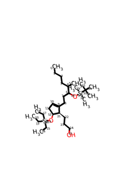 CCCCC(C)C(CCC1=CC[C@H](O[Si](CC)(CC)CC)[C@@H]1CCCO)O[Si](C)(C)C(C)(C)C